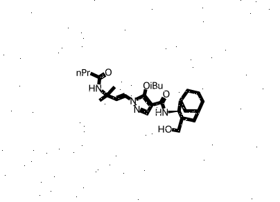 CCCC(=O)NC(C)(C)/C=C/n1ncc(C(=O)N[C@@H]2C(CO)CC3CCCC2C3)c1OCC(C)C